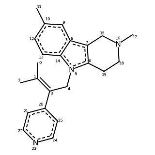 CC(C)=C(Cn1c2c(c3cc(C)ccc31)CN(C)CC2)c1ccncc1